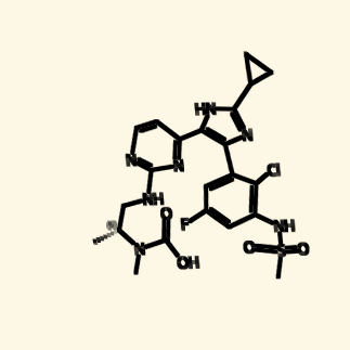 C[C@H](CNc1nccc(-c2[nH]c(C3CC3)nc2-c2cc(F)cc(NS(C)(=O)=O)c2Cl)n1)N(C)C(=O)O